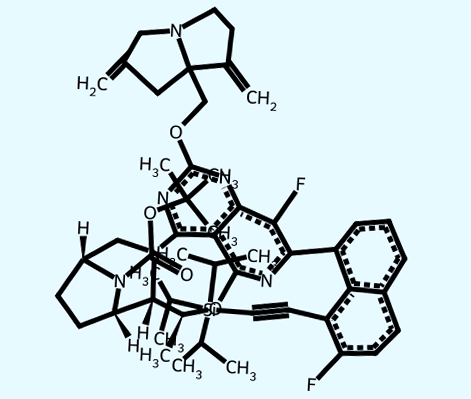 C=C1CN2CCC(=C)C2(COc2nc3c4c(nc(-c5cccc6ccc(F)c(C#C[Si](C(C)C)(C(C)C)C(C)C)c56)c(F)c4n2)O[C@@H](C)[C@@H]2[C@@H]4CC[C@H](CN32)N4C(=O)OC(C)(C)C)C1